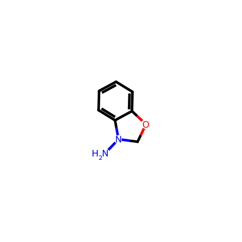 NN1COc2ccccc21